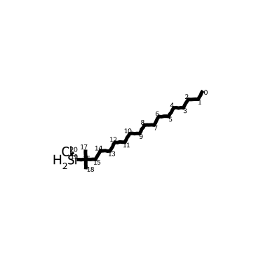 CCCCCCCCCCCCCCCCC(C)(C)[SiH2]Cl